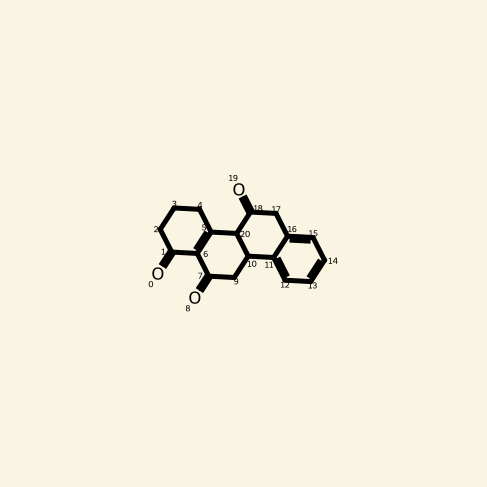 O=C1CCCC2=C1C(=O)CC1c3ccccc3CC(=O)C21